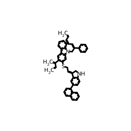 C=C/C=C\C=C(/Cn1c2ccccc2c2cc(C(=C)C=C)c(SC/C=C3\CNc4ccc(-c5cccc6ccccc56)cc43)cc21)c1ccccc1